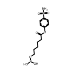 NS(=O)(=O)c1ccc(OC(=O)CCCCCON(O)O)cc1